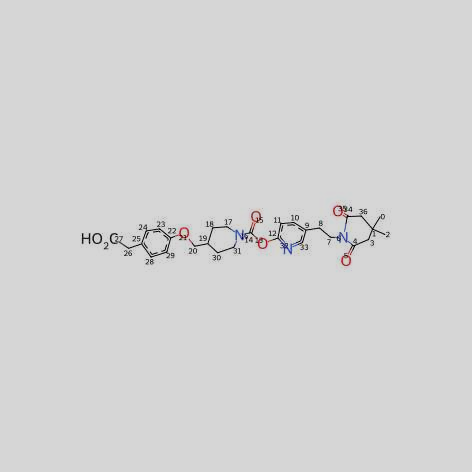 CC1(C)CC(=O)N(CCc2ccc(OC(=O)N3CCC(COc4ccc(CC(=O)O)cc4)CC3)nc2)C(=O)C1